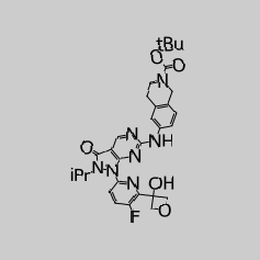 CC(C)n1c(=O)c2cnc(Nc3ccc4c(c3)CCN(C(=O)OC(C)(C)C)C4)nc2n1-c1ccc(F)c(C2(O)COC2)n1